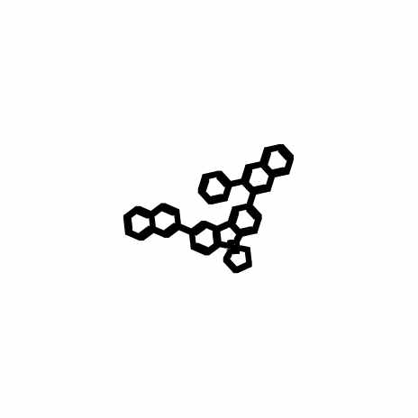 c1ccc(-c2cc3ccccc3cc2-c2ccc3c(c2)-c2cc(-c4ccc5ccccc5c4)ccc2[Si]32CCCC2)cc1